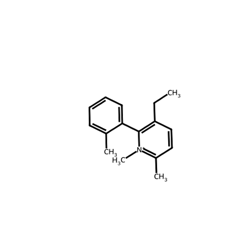 CCc1ccc(C)[n+](C)c1-c1ccccc1C